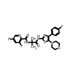 CC(C)(NC(=O)c1ncc(F)cc1F)C(=O)Nc1nc(-c2ccc(F)cc2)c(N2CCOCC2)s1